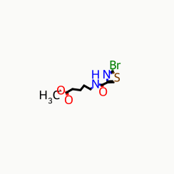 COC(=O)CCCCNC(=O)c1csc(Br)n1